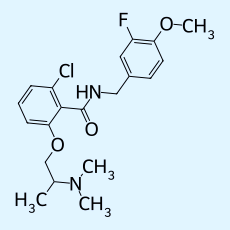 COc1ccc(CNC(=O)c2c(Cl)cccc2OCC(C)N(C)C)cc1F